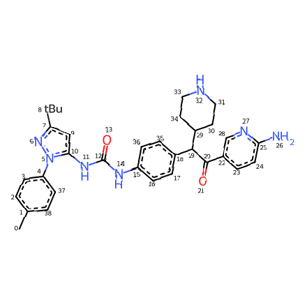 Cc1ccc(-n2nc(C(C)(C)C)cc2NC(=O)Nc2ccc(C(C(=O)c3ccc(N)nc3)C3CCNCC3)cc2)cc1